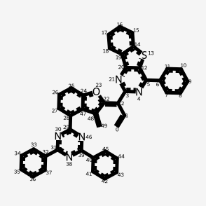 C=C/C(c1nc(-c2ccccc2)c2sc3ccccc3c2n1)=c1/oc2cccc(-c3nc(-c4ccccc4)nc(-c4ccccc4)n3)c2c1=C